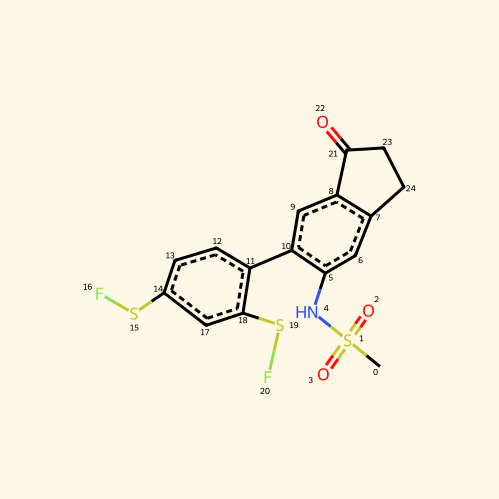 CS(=O)(=O)Nc1cc2c(cc1-c1ccc(SF)cc1SF)C(=O)CC2